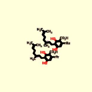 CCCCc1cc(O)c(C/C=C(\C)CCC=C(C)C)c(O)c1C(=O)O.CCCc1cc(O)c(C/C=C(\C)CCC=C(C)C)c(O)c1C(=O)O